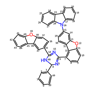 c1ccc(C2N=C(c3cccc4oc5cc(-n6c7ccccc7c7ccccc76)ccc5c34)N=C(c3ccc4oc5ccccc5c4c3)N2)cc1